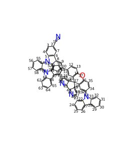 N#Cc1ccc2c(c1)c1cc(-c3ccc4c(c3)C3(c5cc(-n6c7ccccc7c7ccccc76)ccc5O4)c4cccnc4-c4ncccc43)ccc1n2-c1ccccc1-n1c2ccccc2c2ccccc21